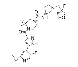 COc1cc(-c2cc(C(=O)N3CC[C@H](C(=O)N[C@@H]4CCN(CC(F)(F)CO)C4)CC34CC4)n[nH]2)c(F)cn1